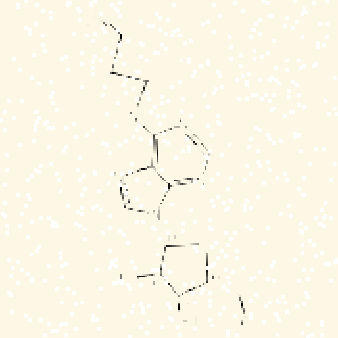 C=CCCNc1ncnc2c1ncn2[C@@H]1O[C@H](CO)[C@@H](O)[C@H]1O